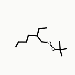 [CH2]CCCC([CH]OOC(C)(C)C)CC